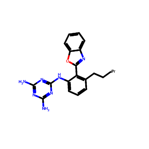 CC(C)CCc1cccc(Nc2nc(N)nc(N)n2)c1-c1nc2ccccc2o1